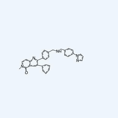 Cn1ccc2nc(-c3ccc(CNCc4ccc(-n5cccn5)cc4)cc3)c(-c3ccccc3)cc2c1=O